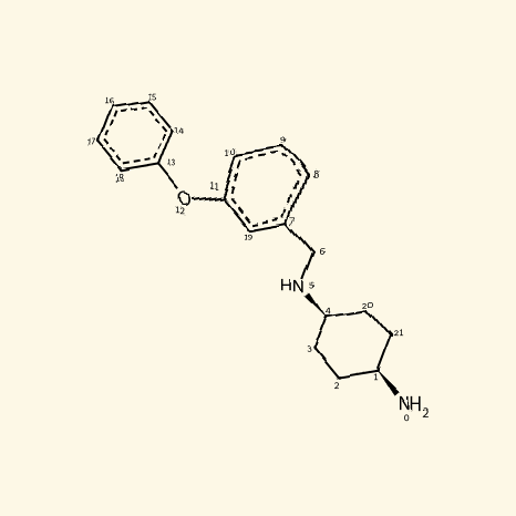 N[C@H]1CC[C@@H](NCc2cccc(Oc3ccccc3)c2)CC1